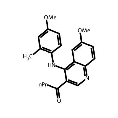 CCCC(=O)c1cnc2ccc(OC)cc2c1Nc1ccc(OC)cc1C